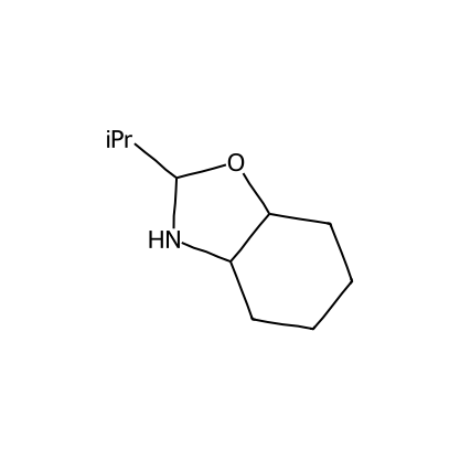 CC(C)C1NC2CCCCC2O1